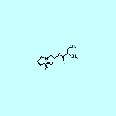 CCC(C)C(=O)OCCN1CCCS1(=O)=O